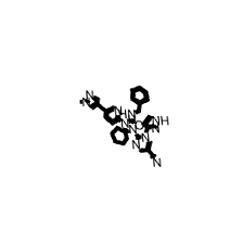 Cn1cc(-c2ccc(N(C(=O)NCc3ccccc3)C3(NC4N=CC(C#N)=CN4c4cc[nH]n4)CCCCC3)nc2)cn1